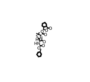 CC1(C)S[C@@H]2[C@H](NC(=O)OCc3ccccc3)C(=O)N2[C@H]1C(=O)OC1OC(=O)c2ccccc21